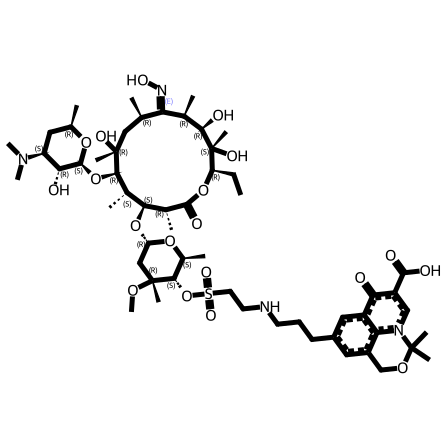 CC[C@H]1OC(=O)[C@H](C)[C@@H](O[C@H]2C[C@@](C)(OC)[C@@H](OS(=O)(=O)CCNCCCc3cc4c5c(c3)c(=O)c(C(=O)O)cn5C(C)(C)OC4)[C@H](C)O2)[C@H](C)[C@@H](O[C@@H]2O[C@H](C)C[C@H](N(C)C)[C@H]2O)[C@](C)(O)C[C@@H](C)/C(=N\O)[C@@H](C)[C@@H](O)[C@]1(C)O